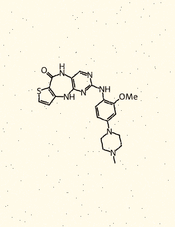 COc1cc(N2CCN(C)CC2)ccc1Nc1ncc2c(n1)Nc1ccsc1C(=O)N2